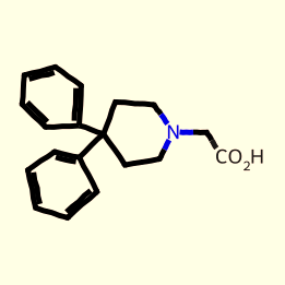 O=C(O)CN1CCC(c2ccccc2)(c2ccccc2)CC1